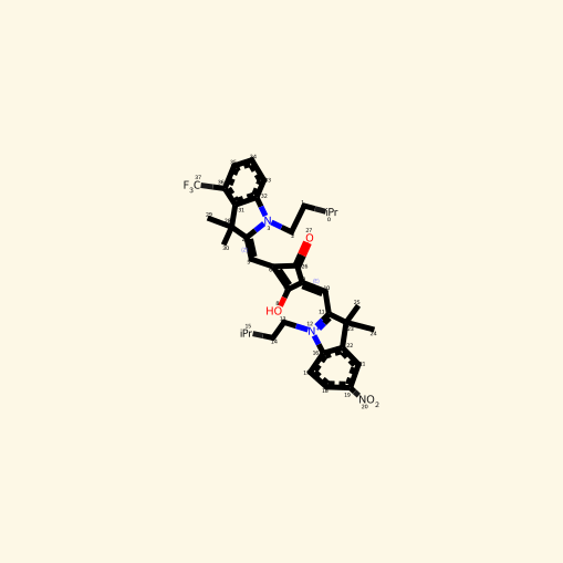 CC(C)CCN1/C(=C\C2=C(O)C(=C\C3=[N+](CCC(C)C)c4ccc([N+](=O)[O-])cc4C3(C)C)/C2=O)C(C)(C)c2c1cccc2C(F)(F)F